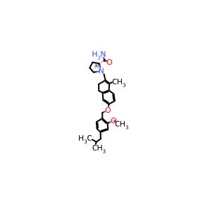 COc1cc(CC(C)C)ccc1COc1ccc2c(c1)CCC(CN1CCC[C@@H]1C(N)=O)=C2C